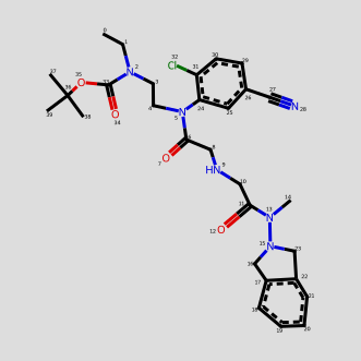 CCN(CCN(C(=O)CNCC(=O)N(C)N1Cc2ccccc2C1)c1cc(C#N)ccc1Cl)C(=O)OC(C)(C)C